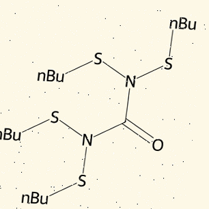 CCCCSN(SCCCC)C(=O)N(SCCCC)SCCCC